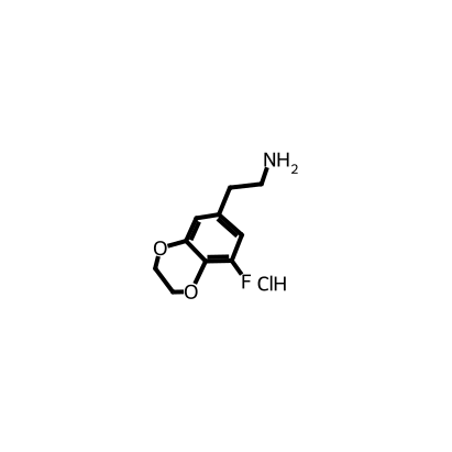 Cl.NCCc1cc(F)c2c(c1)OCCO2